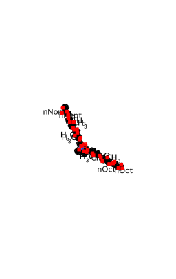 CCCCCCCCCC(CCCCCCC)C1c2ccccc2-c2ccc(-c3ccc4c(c3)C(C)(C)c3cc(-c5ccc6c(c5)C(C)(C)c5cc(-c7ccc8c(c7)Oc7cc(-c9ccc%10c(c9)C(C)(C)c9cc(-c%11ccc%12c(c%11)C(C)(C)c%11cc(-c%13ccc%14c(c%13)C(CCCCCCCC)(CCCCCCCC)c%13ccccc%13-%14)ccc%11-%12)ccc9-%10)ccc7N8c7ccccc7-c7ccccc7)ccc5-6)ccc3-4)cc21